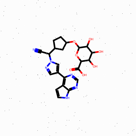 N#CC(C1CCC(OC2OC(C(=O)O)C(O)C(O)C2O)C1)n1cc(-c2ncnc3[nH]ccc23)cn1